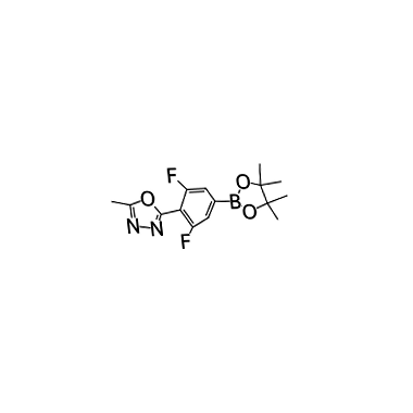 Cc1nnc(-c2c(F)cc(B3OC(C)(C)C(C)(C)O3)cc2F)o1